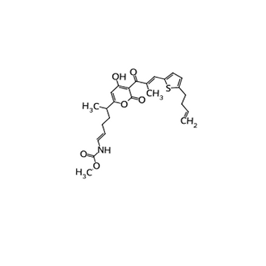 C=CCCc1ccc(/C=C(\C)C(=O)c2c(O)cc(C(C)CC/C=C/NC(=O)OC)oc2=O)s1